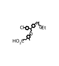 CCOCCN(C)Cc1ccc(/C(=C/COc2ccc(CCC(=O)O)c(C)c2)c2ccc(Cl)cc2)cc1